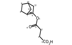 O=C(O)CCC(=O)OC1=C2CCC(C2)C1